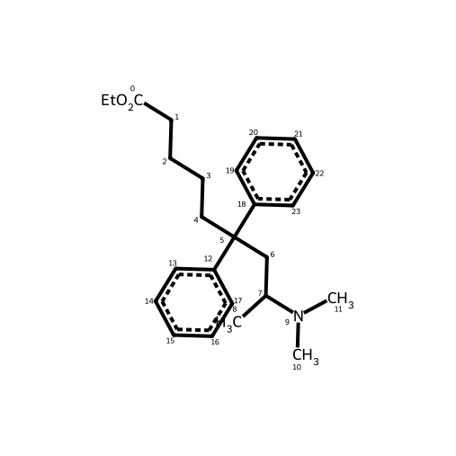 CCOC(=O)CCCCC(CC(C)N(C)C)(c1ccccc1)c1ccccc1